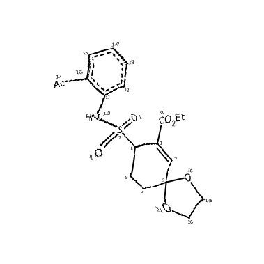 CCOC(=O)C1=CC2(CCC1S(=O)(=O)Nc1ccccc1C(C)=O)OCCO2